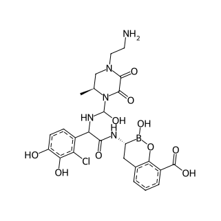 C[C@H]1CN(CCN)C(=O)C(=O)N1C(O)NC(C(=O)N[C@H]1Cc2cccc(C(=O)O)c2OB1O)c1ccc(O)c(O)c1Cl